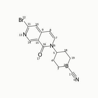 N#CB1CCC(n2ccc3cc(Br)ncc3c2=O)CC1